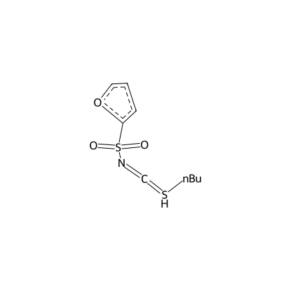 CCCC[SH]=C=NS(=O)(=O)c1ccco1